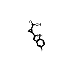 O=C(O)C1CC1c1cc2cc(F)ccc2[nH]1